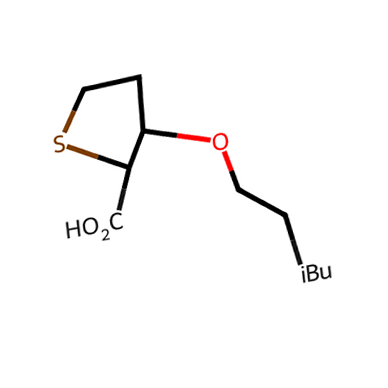 CCC(C)CCOC1CCSC1C(=O)O